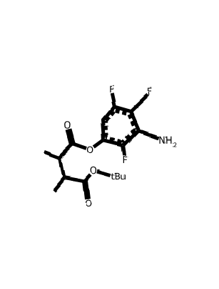 CC(C(=O)Oc1cc(F)c(F)c(N)c1F)C(C)C(=O)OC(C)(C)C